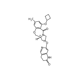 Cc1cc2c(c(OC3CCC3)c1)C(=O)N1C[C@@H](Oc3cc4c(cn3)CCC(=O)N4)C[C@@H]1CO2